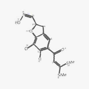 CSC(=CC(=O)c1cc2c(c(Cl)c1Cl)OC(/C=N\O)C2)SC